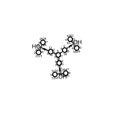 OC(C#Cc1ccc(-c2cc(-c3ccc(C#CC(O)(c4ccccc4)c4ccccc4)cc3)cc(-c3ccc(C#CC(O)(c4ccccc4)c4ccccc4)cc3)c2)cc1)(c1ccccc1)c1ccccc1